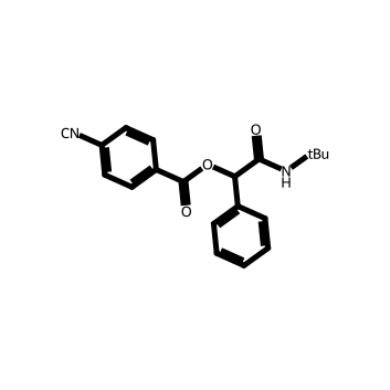 [C-]#[N+]c1ccc(C(=O)OC(C(=O)NC(C)(C)C)c2ccccc2)cc1